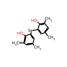 Cc1cc(C)c(O)c([Se]c2cc(C)cc(C)c2O)c1